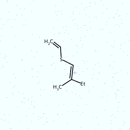 C=CS/C=C(\C)CC